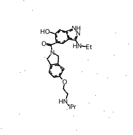 CCNc1n[nH]c2cc(O)c(C(=O)N3Cc4ccc(OCCNC(C)C)cc4C3)cc12